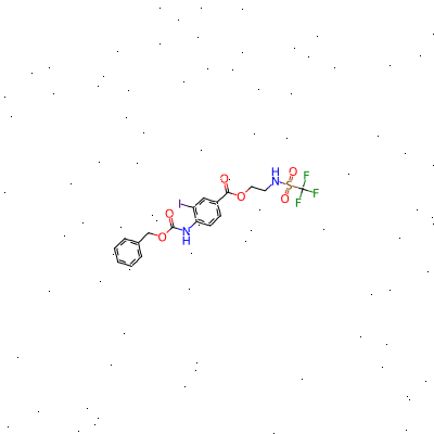 O=C(Nc1ccc(C(=O)OCCNS(=O)(=O)C(F)(F)F)cc1I)OCc1ccccc1